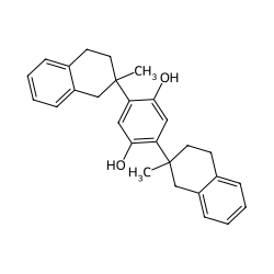 CC1(c2cc(O)c(C3(C)CCc4ccccc4C3)cc2O)CCc2ccccc2C1